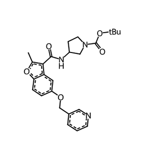 Cc1oc2ccc(OCc3cccnc3)cc2c1C(=O)NC1CCN(C(=O)OC(C)(C)C)C1